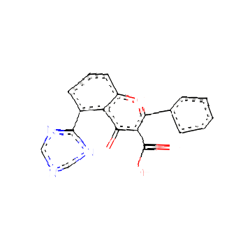 O=C(O)c1c(-c2ccccc2)oc2cccc(-c3ncncn3)c2c1=O